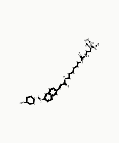 CCC[C@H]1CC[C@H](COc2ccc3cc(/C=C/C(=O)OCCCCCCOC(=O)NCC[Si](OCC)(OCC)OCC)ccc3c2)CC1